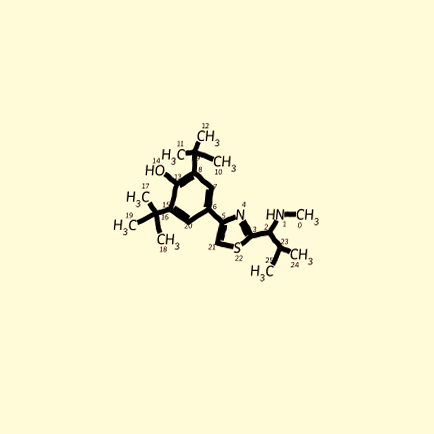 CNC(c1nc(-c2cc(C(C)(C)C)c(O)c(C(C)(C)C)c2)cs1)C(C)C